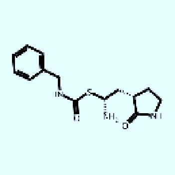 N[C@@H](C[C@@H]1CCNC1=O)SC(=O)NCc1ccccc1